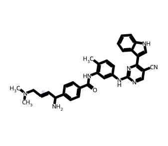 Cc1ccc(Nc2ncc(C#N)c(-c3c[nH]c4ccccc34)n2)cc1NC(=O)c1ccc(C(N)/C=C/CN(C)C)cc1